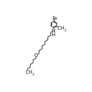 CCCCCCCOCCCCCCCCCCNc1ccc(Br)cc1C